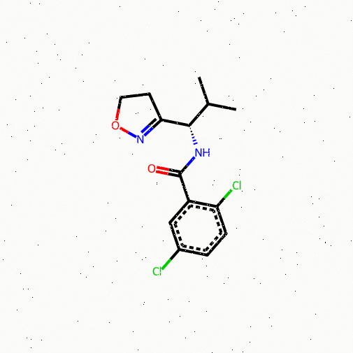 CC(C)[C@H](NC(=O)c1cc(Cl)ccc1Cl)C1=NOCC1